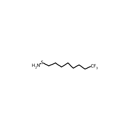 NSCCCCCCCC(F)(F)F